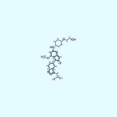 COc1nc(N[C@H]2CC[C@@H](OCCO)CC2)nn2cc(F)c(-c3ccc4nnn(CC(F)F)c4c3)c12